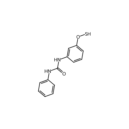 O=C(Nc1ccccc1)Nc1cccc(OS)c1